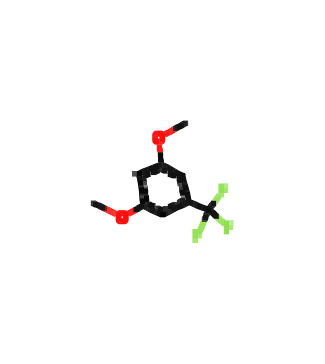 COc1[c]c(OC)cc(C(F)(F)F)c1